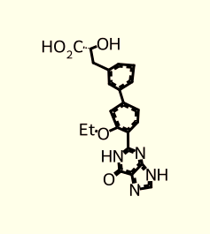 CCOc1cc(-c2cccc(C[C@@H](O)C(=O)O)c2)ccc1-c1nc2[nH]cnc2c(=O)[nH]1